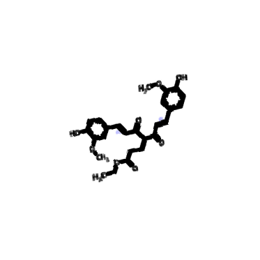 CCOC(=O)CCC(C(=O)/C=C/c1ccc(O)c(OC)c1)C(=O)/C=C/c1ccc(O)c(OC)c1